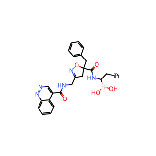 CC(C)CC(NC(=O)C1(Cc2ccccc2)CC(CNC(=O)c2cnnc3ccccc23)=NO1)B(O)O